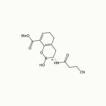 COC(=O)C1=CCCC2=C1OB(O)[C@@H](NC(=O)CCC#N)C2